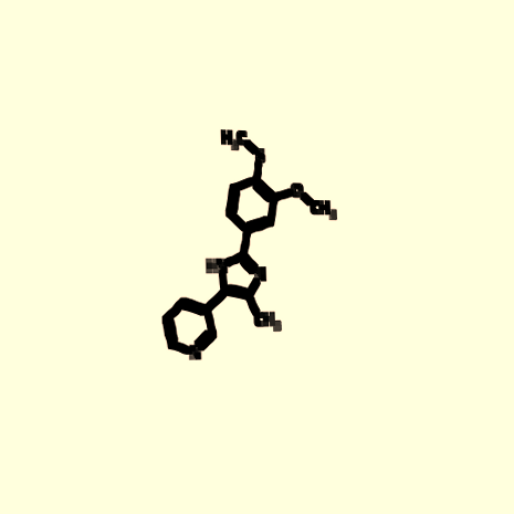 COc1cc(-c2nc(C)c(-c3cccnc3)[nH]2)ccc1SC